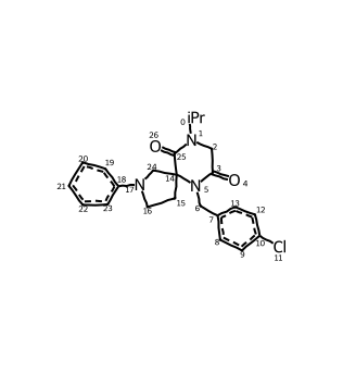 CC(C)N1CC(=O)N(Cc2ccc(Cl)cc2)C2(CCN(c3ccccc3)C2)C1=O